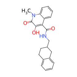 Cn1c(=O)c(O)c(C(=O)NCC2CCc3ccccc3C2)c2ccccc21